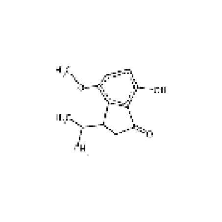 COc1ccc(O)c2c1C(C(C)C)CC2=O